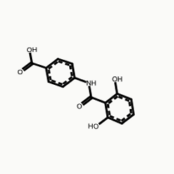 O=C(O)c1ccc(NC(=O)c2c(O)cccc2O)cc1